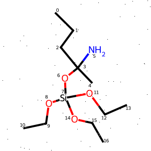 CCCC(C)(N)O[Si](OCC)(OCC)OCC